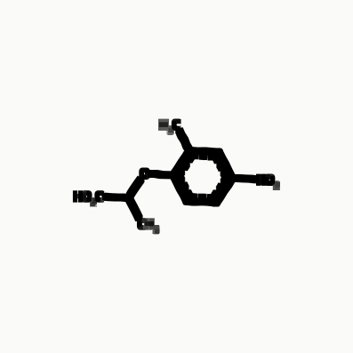 Cc1cc([N+](=O)[O-])ccc1OC(C)C(=O)O